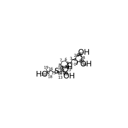 C=C1C(=CC=C2CCC[C@]3(C)[C@@H]([C@H](C)SCCC(C)(C)O)[C@@H](O)C[C@@H]23)C[C@@H](O)C[C@@H]1O